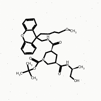 COCCCCC1(CNC(=O)[C@H]2C[C@@H](C(=O)N[C@@H](C)CO)CN(C(=O)OC(C)(C)C)C2)c2ccccc2Oc2ccccc21